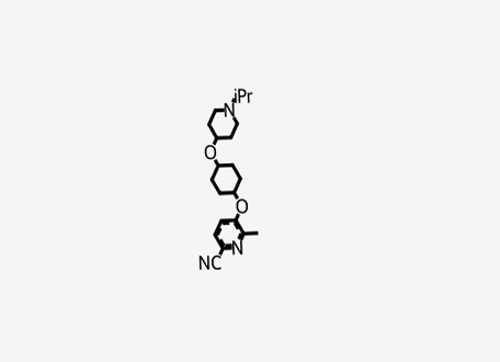 Cc1nc(C#N)ccc1OC1CCC(OC2CCN(C(C)C)CC2)CC1